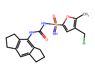 Cc1oc(S(=N)(=O)NC(=O)Nc2c3c(cc4c2CCC4)CCC3)cc1CBr